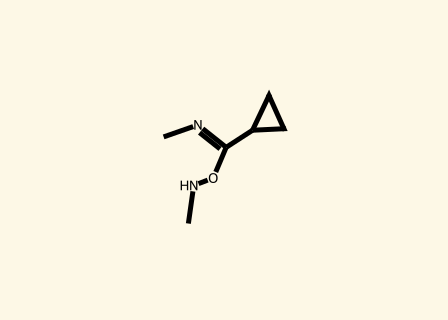 C/N=C(\ONC)C1CC1